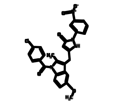 COc1ccc2c(c1)c(Cc1cc(=O)n(-c3cccc([N+](=O)[O-])c3)[nH]1)c(C)n2C(=O)c1ccc(Cl)cc1